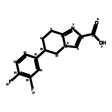 O=C(O)c1cn2c(n1)CCC(c1ccc(F)c(F)c1)C2